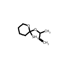 C=CC(C)OC1([SiH3])CCCCO1